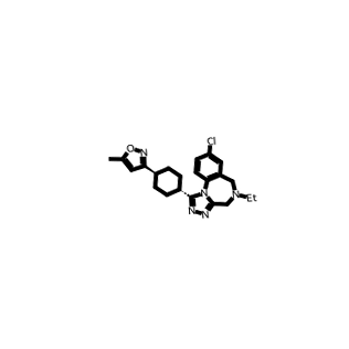 CCN1Cc2cc(Cl)ccc2-n2c(nnc2[C@H]2CC[C@H](c3cc(C)on3)CC2)C1